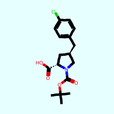 CC(C)(C)OC(=O)N1C[C@H](Cc2ccc(Cl)cc2)C[C@H]1C(=O)O